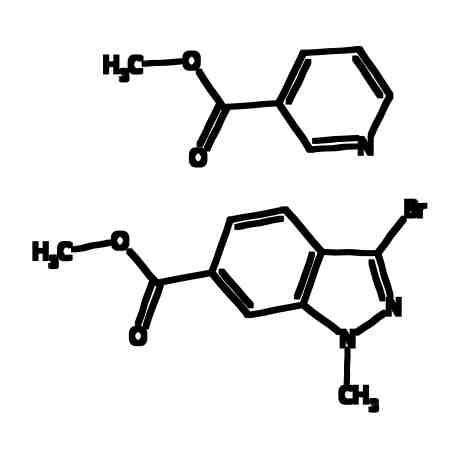 COC(=O)c1ccc2c(Br)nn(C)c2c1.COC(=O)c1cccnc1